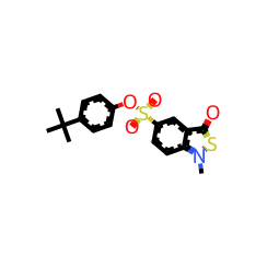 Cn1sc(=O)c2cc(S(=O)(=O)Oc3ccc(C(C)(C)C)cc3)ccc21